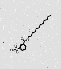 CCCCCCCCCCCCOC(=O)c1cccc(S([NH])(=O)=O)c1